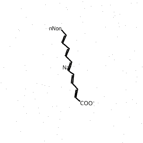 CCCCCCCCCC=CC=CC=CC=CC=CC(=O)[O-].[Na+]